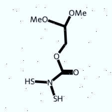 COC(COC(=O)N(S)S)OC